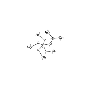 OCP(CO)(CO)(CO)OB(O)O